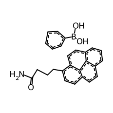 NC(=O)CCCc1ccc2ccc3cccc4ccc1c2c34.OB(O)c1ccccc1